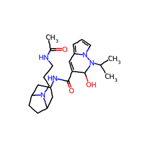 CC(=O)NCCCN1C2CCC1CC(NC(=O)C1=Cc3cccn3N(C(C)C)C1O)C2